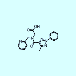 Cc1nn(-c2ccccc2)nc1C(=O)N(CC(=O)O)Cc1ccccn1